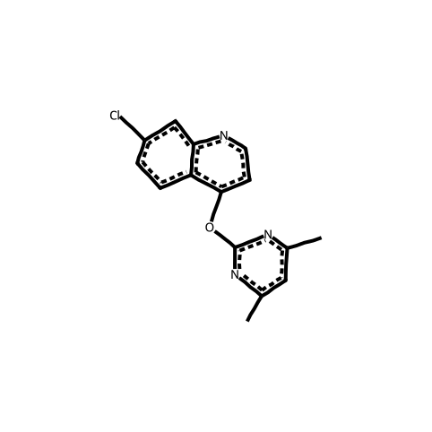 Cc1cc(C)nc(Oc2ccnc3cc(Cl)ccc23)n1